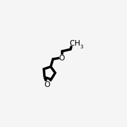 CCCOCC1CC2OC2C1